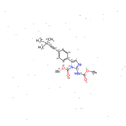 CC(C)(C)OC(=O)Nc1ncc(-c2ccc(C#C[Si](C)(C)C)cc2)n1C(=O)OC(C)(C)C